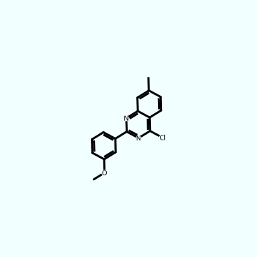 COc1cccc(-c2nc(Cl)c3ccc(C)cc3n2)c1